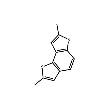 Cc1cc2c(ccc3cc(C)sc32)s1